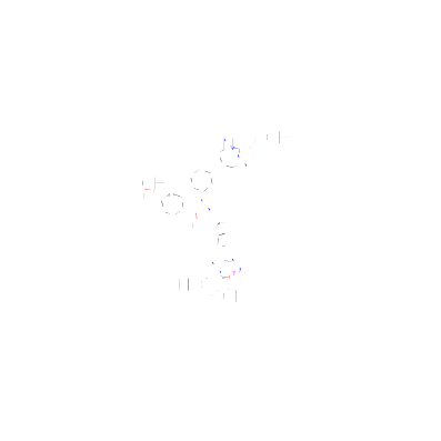 CCOc1ncc(-c2cccc(N(CC34CCC(c5noc(C(C)(C)F)n5)(CC3)CC4)C(=O)c3ccc(OC)cc3)c2)cn1